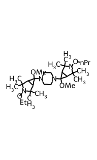 CCCON1C(C)(C)C2C(C1(C)C)C2(OC)N1CCN(C2(OC)C3C2C(C)(C)N(OCC)C3(C)C)CC1